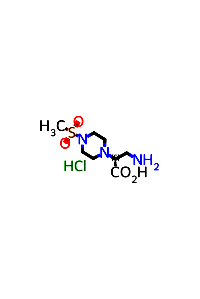 CS(=O)(=O)N1CCN([C@@H](CN)C(=O)O)CC1.Cl